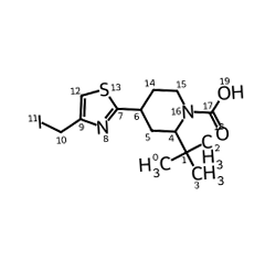 CC(C)(C)C1CC(c2nc(CI)cs2)CCN1C(=O)O